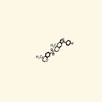 CN1CCOc2cc(S(=O)(=O)N3CCC4=Cc5c(cnn5-c5ccc(F)cc5)CC4(C)C3)ccc21